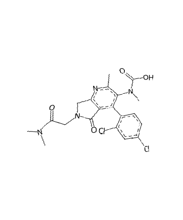 Cc1nc2c(c(-c3ccc(Cl)cc3Cl)c1N(C)C(=O)O)C(=O)N(CC(=O)N(C)C)C2